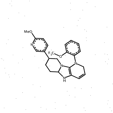 COc1ccc(C2CCC3NC4=C(N(c5ccccc5OC(F)(F)F)CC=C4)N3C2)cn1